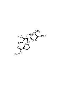 CCC(CC)(C(=O)N[C@@H](C)C(=O)OC)N(C)C(=O)[C@@H]1CCCN1C(=O)OC(C)(C)C